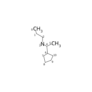 CCC[N]C(C)C1CCCC1